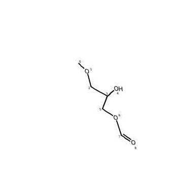 COCC(O)COC=O